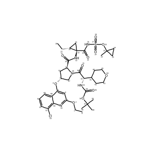 CCOc1cc(O[C@@H]2C[C@@H](C(=O)N[C@]3(C(=O)NS(=O)(=O)OC4(C)CC4)C[C@H]3CC)N(C(=O)[C@@H](NC(=O)OC(C)(C)C)C3CCOCC3)C2)c2cccc(Cl)c2n1